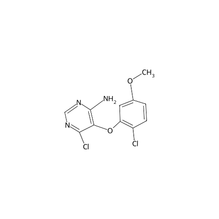 COc1ccc(Cl)c(Oc2c(N)ncnc2Cl)c1